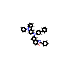 c1ccc(-c2ccc(N(c3ccc4ccc5oc(-c6ccccc6)nc5c4c3)c3ccc4c(c3)c3ccccc3n4-c3ccccc3)cc2)cc1